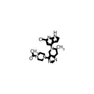 CC(=O)N1CCN(c2ncnc3c2CN(c2cc(Cl)nc4[nH]ccc24)[C@H](C)C3)CC1